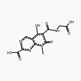 Cn1c(=O)c(C(=O)NCC(=O)O)c(O)c2cnc(C(=O)O)nc21